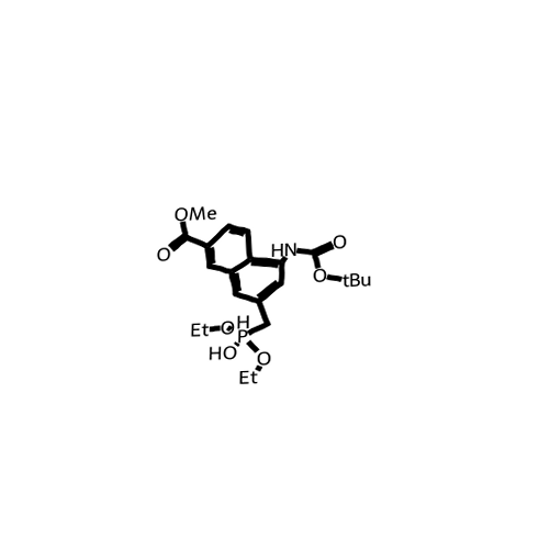 CCO[PH](O)(Cc1cc(NC(=O)OC(C)(C)C)c2ccc(C(=O)OC)cc2c1)OCC